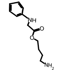 NCCCCOC(=O)CNc1ccccc1